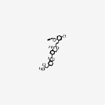 C#CCOc1ccc(Cl)cc1C=CC(=O)Nc1ccc(-c2nc3cc(CC(=O)O)ccc3o2)cc1F